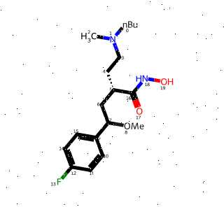 CCCCN(C)CC[C@@H](CC(OC)c1ccc(F)cc1)C(=O)NO